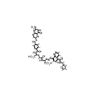 Nc1nc2ncc(CNc3ccc(C(=O)N[C@@H](CCC(=O)N[C@@H](CSSc4ccc(C(=O)NCC5CCCO5)c5cccnc45)C(=O)O)C(=O)O)cc3)nc2c(=O)[nH]1